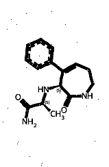 C[C@H](N[C@@H]1C(=O)NCCC=C1c1ccccc1)C(N)=O